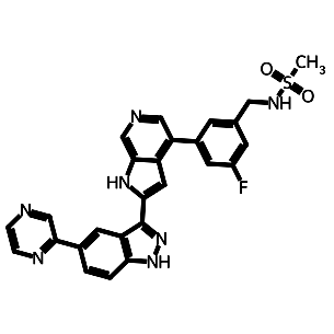 CS(=O)(=O)NCc1cc(F)cc(-c2cncc3[nH]c(-c4n[nH]c5ccc(-c6cnccn6)cc45)cc23)c1